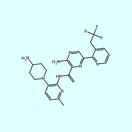 C=C(Nc1nc(C)ccc1N1CCC(N)CC1)c1nc(-c2ncccc2CC(F)(F)F)cnc1N